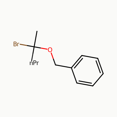 CCCC(C)(Br)OCc1ccccc1